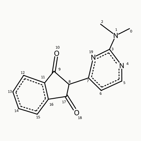 CN(C)c1nccc(C2C(=O)c3ccccc3C2=O)n1